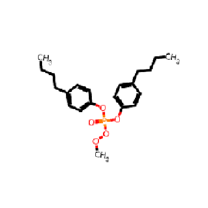 CCCCc1ccc(OP(=O)(OOC)Oc2ccc(CCCC)cc2)cc1